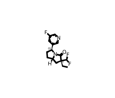 CC[C@@]1(C(F)F)C[C@@H]2CC[C@@H](c3cncc(F)c3)N2C1=O